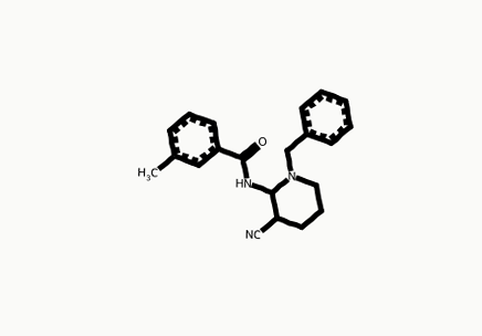 Cc1cccc(C(=O)NC2C(C#N)CCCN2Cc2ccccc2)c1